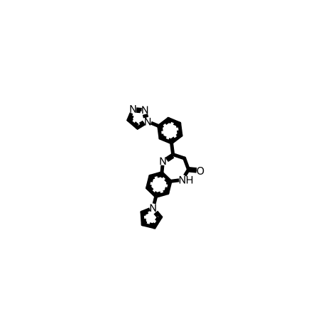 O=C1CC(c2cccc(-n3ccnn3)c2)=Nc2ccc(-n3cccc3)cc2N1